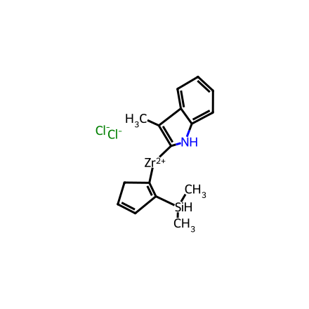 Cc1[c]([Zr+2][C]2=C([SiH](C)C)C=CC2)[nH]c2ccccc12.[Cl-].[Cl-]